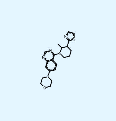 CC1C(c2nccs2)CCCN1c1ncnc2cc(N3CCOCC3)ccc12